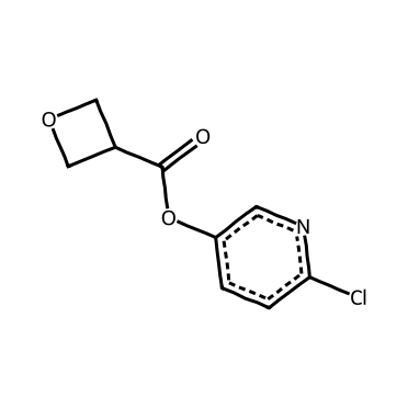 O=C(Oc1ccc(Cl)nc1)C1COC1